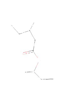 C[CH]C(C)OC(=O)CC(C)CC